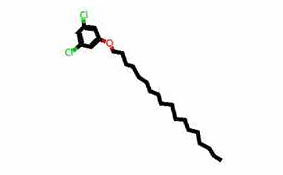 CCCCCCCCCCCCCCCCCCOc1cc(Cl)[c]c(Cl)c1